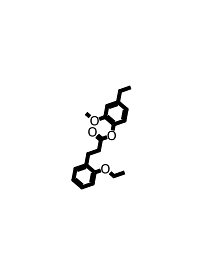 CCOc1ccccc1CCC(=O)Oc1ccc(CC)cc1OC